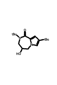 CC(C)(C)c1cc2n(c1)CC(O)CN(C(C)(C)C)C2=O